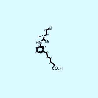 O=C(O)CCCCCc1cccc(NC(=O)NCCCl)c1